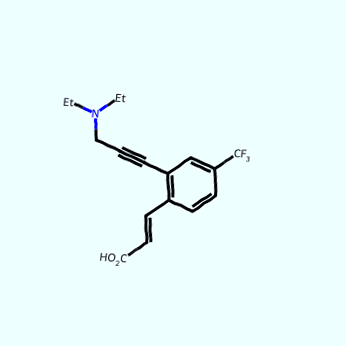 CCN(CC)CC#Cc1cc(C(F)(F)F)ccc1C=CC(=O)O